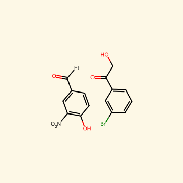 CCC(=O)c1ccc(O)c([N+](=O)[O-])c1.O=C(CO)c1cccc(Br)c1